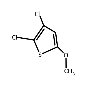 COc1cc(Cl)c(Cl)s1